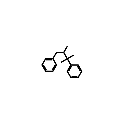 CC(Cc1ccccc1)C(C)(C)c1ccccc1